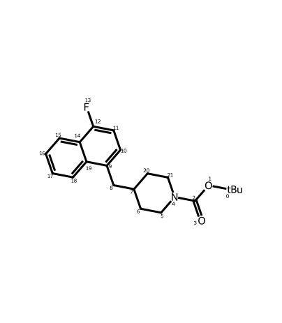 CC(C)(C)OC(=O)N1CCC(Cc2ccc(F)c3ccccc23)CC1